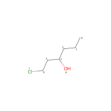 CCCC(O)CCCl